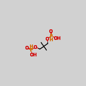 CC(C)(CO[PH](=O)O)CO[PH](=O)O